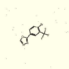 FC(F)(F)c1cc(-c2nnco2)ccc1Br